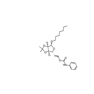 CCCCCCCO[C@H]1O[C@H](/C=N/OC(=O)Nc2ccccc2)[C@@H]2OC(C)(C)O[C@H]12